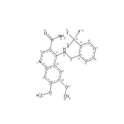 COc1cc2ncc(C(N)=O)c(NCc3ccccc3C(F)(F)F)c2cc1OC